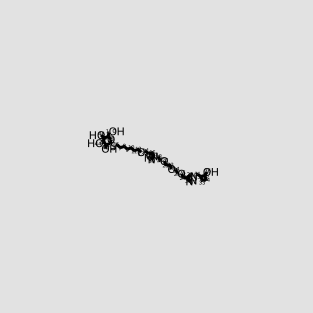 OCC1OC(SCCCCCCCOCc2cn(CCOCCOCCOCc3cn(CC4CCC4O)nn3)nn2)C(O)C(O)C1O